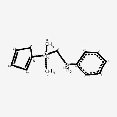 [CH3][Pt]([CH3])([CH2][SiH2]c1ccccc1)[C]1=CC=CC1